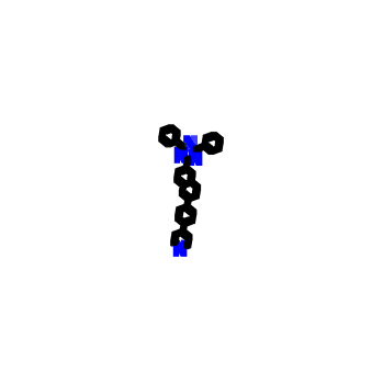 c1ccc(-c2nc(-c3ccccc3)nc(-c3ccc4cc(-c5ccc(-c6ccncc6)cc5)ccc4c3)n2)cc1